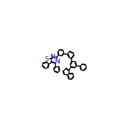 c1ccc(-c2cc(-c3cccc(-c4cccc(-c5nc(-c6ccccc6)c6c(n5)sc5ccccc56)c4)c3)cc(-c3cccc4ccccc34)c2)cc1